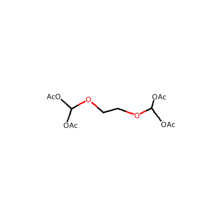 CC(=O)OC(OCCOC(OC(C)=O)OC(C)=O)OC(C)=O